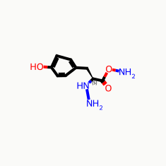 NN[C@@H](Cc1ccc(O)cc1)C(=O)ON